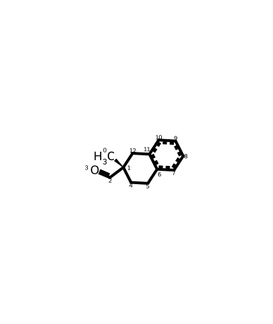 C[C@]1(C=O)CCc2ccccc2C1